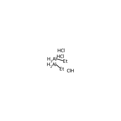 C[CH2][AlH2].C[CH2][AlH2].Cl.Cl.Cl